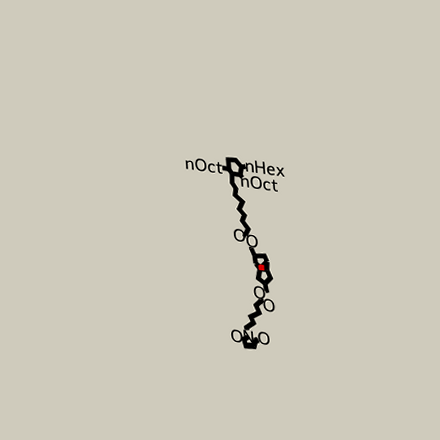 CCCCCCCCC1CCC(CCCCCC)C(CCCCCCCC)C1CCCCCCCCC(=O)OCC1CC2CC1C1CC(COC(=O)CCCCCN3C(=O)C=CC3=O)CC21